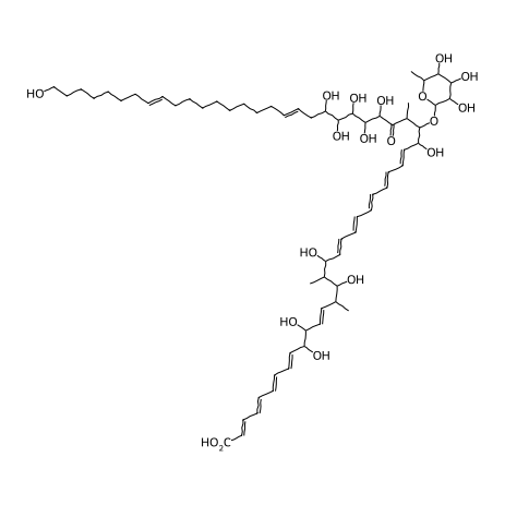 CC(C=CC(O)C(O)C=CC=CC=CC=CC(=O)O)C(O)C(C)C(O)C=CC=CC=CC=CC=CC(O)C(OC1OC(C)C(O)C(O)C1O)C(C)C(=O)C(O)C(O)C(O)C(O)C(O)CC=CCCCCCCCCC=CCCCCCCCO